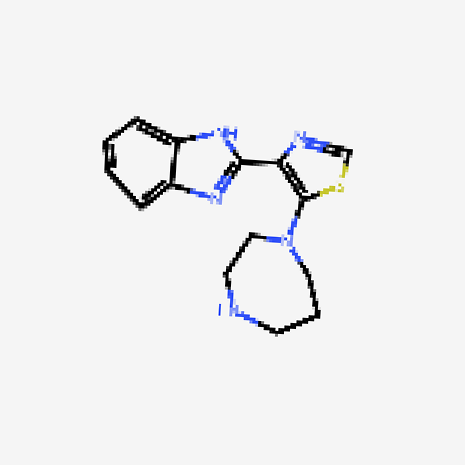 c1ccc2[nH]c(-c3ncsc3N3CCCNCC3)nc2c1